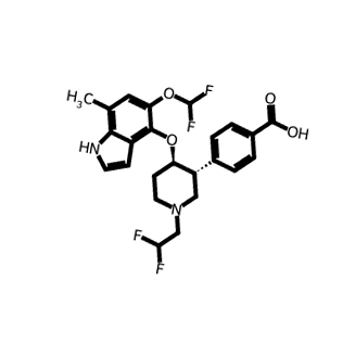 Cc1cc(OC(F)F)c(O[C@@H]2CCN(CC(F)F)C[C@H]2c2ccc(C(=O)O)cc2)c2cc[nH]c12